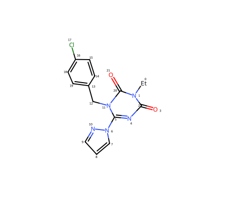 CCn1c(=O)nc(-n2cccn2)n(Cc2ccc(Cl)cc2)c1=O